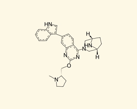 CN1CCC[C@H]1COc1nc(N2C[C@H]3CC[C@@H](C2)N3)c2ccc(-c3c[nH]c4ccccc34)cc2n1